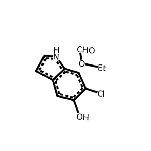 CCOC=O.Oc1cc2cc[nH]c2cc1Cl